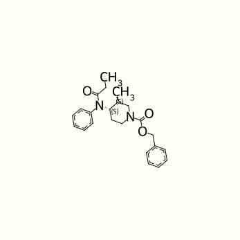 CCC(=O)N(c1ccccc1)[C@H]1CCN(C(=O)OCc2ccccc2)C[C@@H]1C